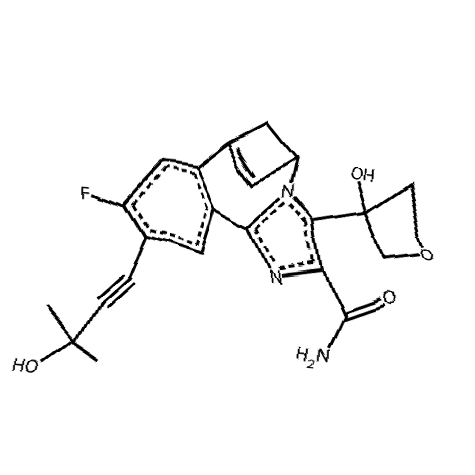 CC(C)(O)C#Cc1cc2c(cc1F)C1=CC(C1)n1c-2nc(C(N)=O)c1C1(O)COC1